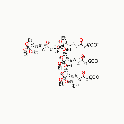 CCO[Si](CCCCC(=O)CC(=O)[O-])(OCC)OCC.CCO[Si](CCCCC(=O)CC(=O)[O-])(OCC)OCC.CCO[Si](CCCCC(=O)CC(=O)[O-])(OCC)OCC.CCO[Si](CCCCC(=O)CC(=O)[O-])(OCC)OCC.[Ti+4]